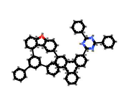 c1ccc(-c2cc(-c3ccccc3)cc(-c3cccc4oc5ccc(-c6ccc7c8ccccc8c8ccc(-c9nc(-c%10ccccc%10)nc(-c%10ccccc%10)n9)cc8c7c6)cc5c34)c2)cc1